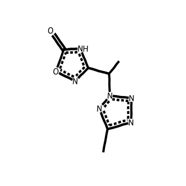 Cc1nnn(C(C)c2noc(=O)[nH]2)n1